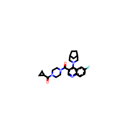 O=C(c1cnc2ccc(F)cc2c1N1CC2CCC(C2)C1)N1CCN(C(=O)C2CC2)CC1